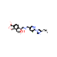 Cc1cn(-c2ncc(CNCC(O)c3ccc4c(c3C)COC4=O)cc2F)cn1